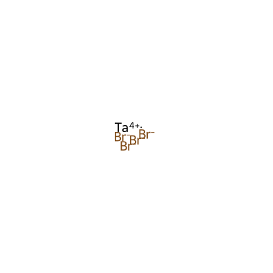 [Br-].[Br-].[Br-].[Br-].[Ta+4]